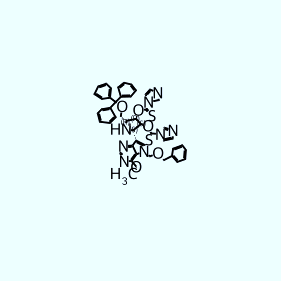 COc1ncnc2c([C@@H]3N[C@H](COC(c4ccccc4)(c4ccccc4)c4ccccc4)[C@@H](OC(=S)n4ccnc4)[C@H]3OC(=S)n3ccnc3)cn(COCc3ccccc3)c12